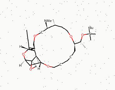 CN[C@@H]1COC[C@]23CCC(C)C[C@H]2O[C@@H]2C[C@@H](OCCCCC[C@H]([C@@H](C)O[Si](C)(C)C(C)(C)C)OCC[C@H]1C)[C@@]3(C)[C@]21CO1